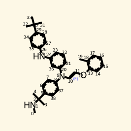 CNC(C)(C)c1ccc(N(/C=C/Oc2ccccc2C)c2cccc(Nc3ccc(C(C)(C)C)cc3)c2)cc1